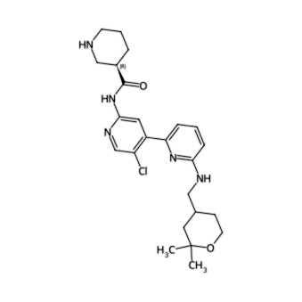 CC1(C)CC(CNc2cccc(-c3cc(NC(=O)[C@@H]4CCCNC4)ncc3Cl)n2)CCO1